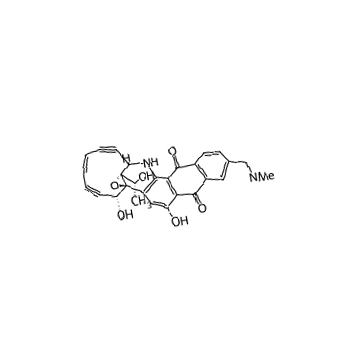 CNCc1ccc2c(c1)C(=O)c1c(O)cc3c(c1C2=O)N[C@H]1C#C/C=C\C#C[C@@H](O)[C@@]32O[C@@]12[C@@H](C)O